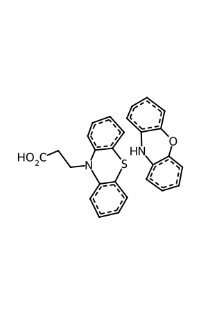 O=C(O)CCN1c2ccccc2Sc2ccccc21.c1ccc2c(c1)Nc1ccccc1O2